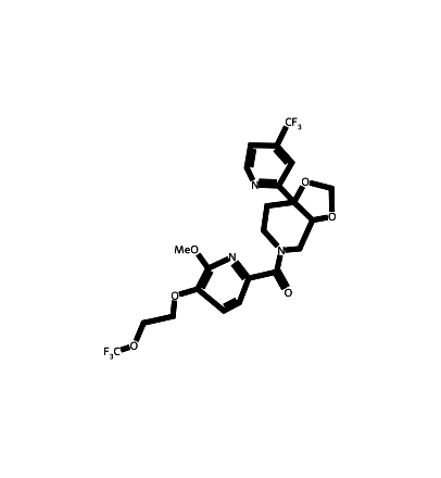 COc1nc(C(=O)N2CCC3(c4cc(C(F)(F)F)ccn4)OCOC3C2)ccc1OCCOC(F)(F)F